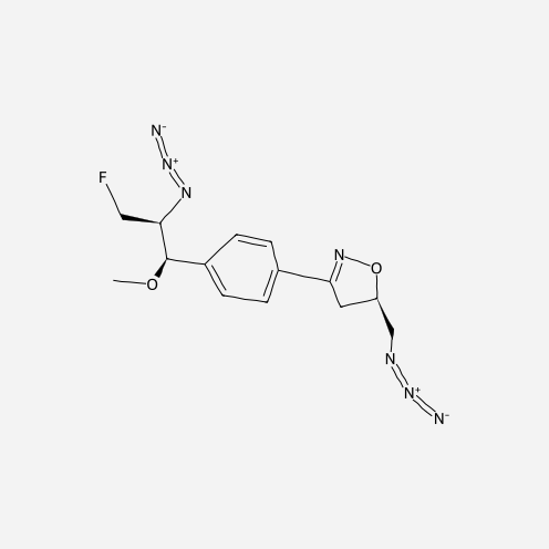 CO[C@H](c1ccc(C2=NO[C@@H](CN=[N+]=[N-])C2)cc1)[C@@H](CF)N=[N+]=[N-]